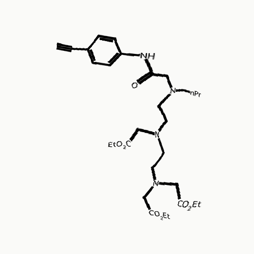 C#Cc1ccc(NC(=O)CN(CCC)CCN(CCN(CC(=O)OCC)CC(=O)OCC)CC(=O)OCC)cc1